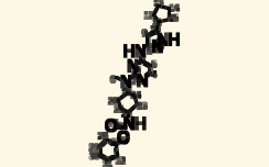 CN(c1nccc(Nc2cc(C3CCCC3)[nH]n2)n1)[C@H]1CC[C@H](NC(=O)Oc2ccccc2)CC1